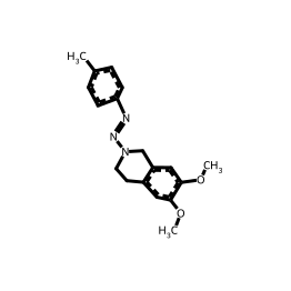 COc1cc2c(cc1OC)CN(N=Nc1ccc(C)cc1)CC2